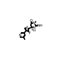 Cc1cncc(-c2csc([C@]3(C)CC(=O)N(C)C(=N)N3)c2F)c1